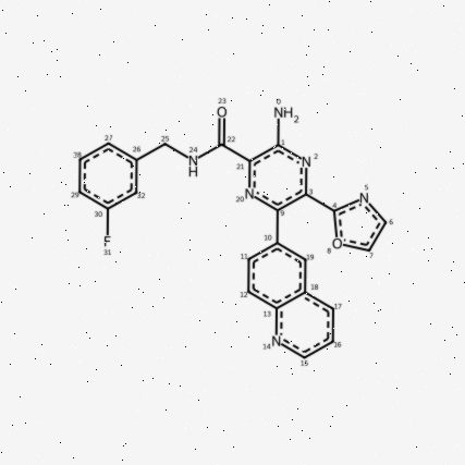 Nc1nc(-c2ncco2)c(-c2ccc3ncccc3c2)nc1C(=O)NCc1cccc(F)c1